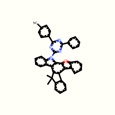 CC1(C)c2ccccc2-c2c1c1c3ccccc3n(-c3nc(-c4ccccc4)nc(-c4ccc(C#N)cc4)n3)c1c1oc3ccccc3c21